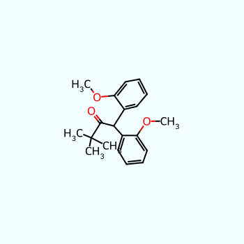 COc1ccccc1C(C(=O)C(C)(C)C)c1ccccc1OC